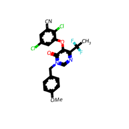 COc1ccc(Cn2cnc(C(C)(F)F)c(Oc3cc(Cl)cc(C#N)c3Cl)c2=O)cc1